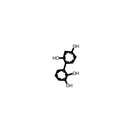 Oc1ccc(-c2cc[c]c(O)c2O)c(O)c1